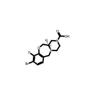 O=C(O)N1CCN2Cc3ccc(Br)c(F)c3OC[C@H]2C1